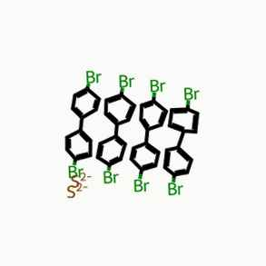 Brc1ccc(-c2ccc(Br)cc2)cc1.Brc1ccc(-c2ccc(Br)cc2)cc1.Brc1ccc(-c2ccc(Br)cc2)cc1.Brc1ccc(-c2ccc(Br)cc2)cc1.[S-2].[S-2]